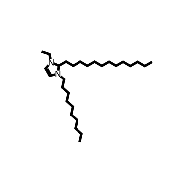 CCCCCCCCCCCCCC1N(CC)C=CN1CCCCCCCCCC